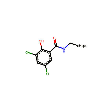 CCCCCCCCNC(=O)c1cc(Cl)cc(Cl)c1O